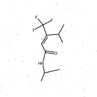 CC(C)NC(=O)/C=C(\C(C)C)C(F)(F)F